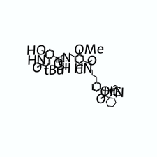 COc1cc(C(=O)NCCCc2cccc(OC(=O)C3([C@@H]4CN5CCC4CC5)CCCCC3)c2)c(Cl)cc1CNC[C@@H](O[Si](C)(C)C(C)(C)C)c1ccc(O)c2[nH]c(=O)ccc12